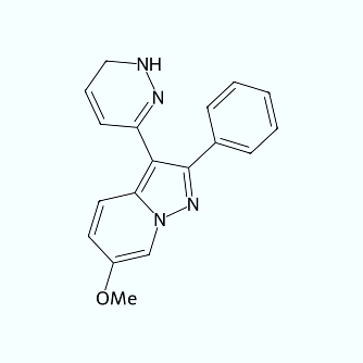 COc1ccc2c(C3=NNCC=C3)c(-c3ccccc3)nn2c1